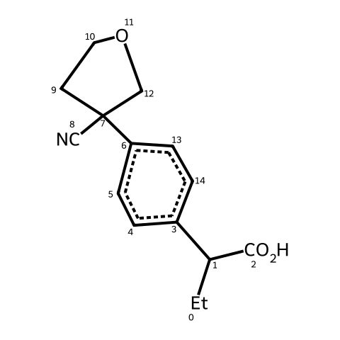 CCC(C(=O)O)c1ccc(C2(C#N)CCOC2)cc1